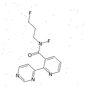 O=C(c1cccnc1-c1ccncn1)N(F)CCCF